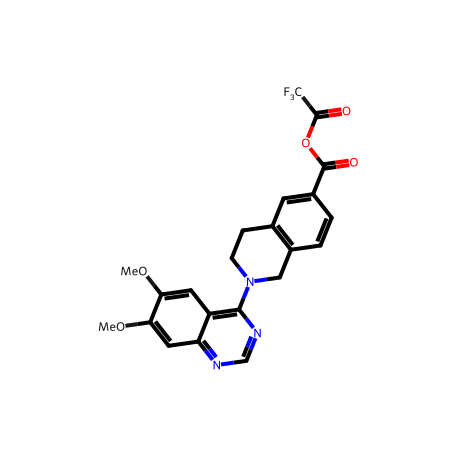 COc1cc2ncnc(N3CCc4cc(C(=O)OC(=O)C(F)(F)F)ccc4C3)c2cc1OC